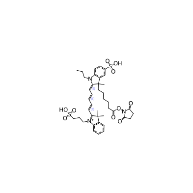 CCCN1/C(=C/C=C/C=C/C2=[N+](CCCS(=O)(=O)O)c3ccccc3C2(C)C)C(C)(CCCCCC(=O)ON2C(=O)CCC2=O)c2cc(S(=O)(=O)O)ccc21